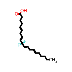 CCCCCC=CCC=CC(F)(F)C=CCC=CCCCC(=O)O